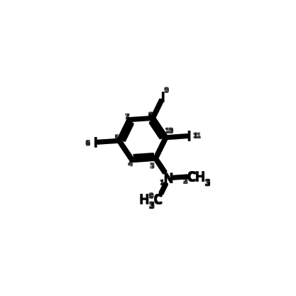 CN(C)c1cc(I)cc(I)c1I